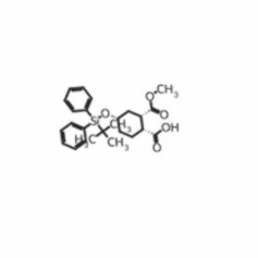 COC(=O)[C@H]1C[C@@H](O[Si](c2ccccc2)(c2ccccc2)C(C)(C)C)CC[C@H]1C(=O)O